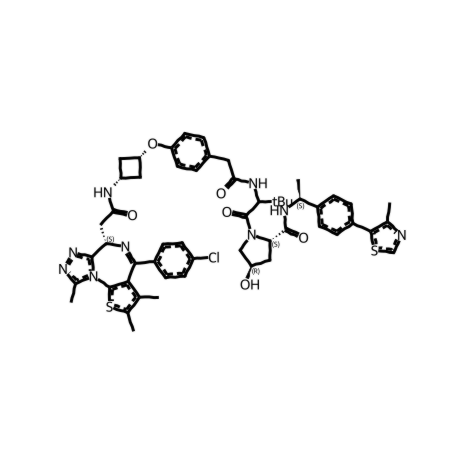 Cc1ncsc1-c1ccc([C@H](C)NC(=O)[C@@H]2C[C@@H](O)CN2C(=O)C(NC(=O)Cc2ccc(O[C@H]3C[C@@H](NC(=O)C[C@@H]4N=C(c5ccc(Cl)cc5)c5c(sc(C)c5C)-n5c(C)nnc54)C3)cc2)C(C)(C)C)cc1